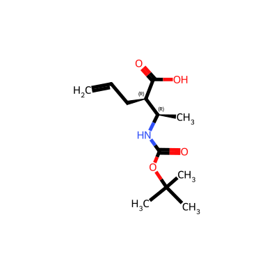 C=CC[C@@H](C(=O)O)[C@@H](C)NC(=O)OC(C)(C)C